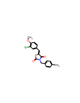 COc1ccc(/C=C2\SC(=O)N(Cc3ccc(C)cc3)C2=O)cc1Br